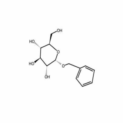 OC[C@H]1O[C@H](OCc2ccccc2)[C@H](O)[C@@H](O)[C@@H]1O